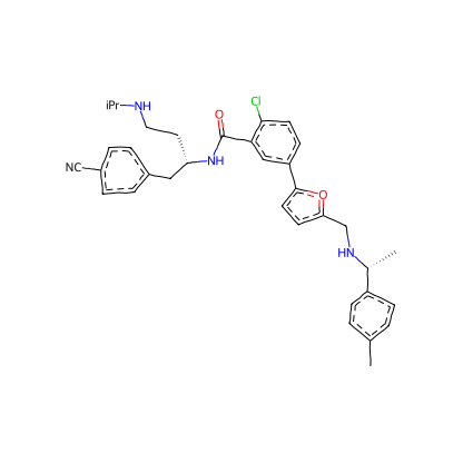 Cc1ccc([C@@H](C)NCc2ccc(-c3ccc(Cl)c(C(=O)N[C@@H](CCNC(C)C)Cc4ccc(C#N)cc4)c3)o2)cc1